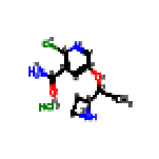 CC(Oc1cnc(Cl)c(C(N)=O)c1)[C@@H]1CCN1.Cl